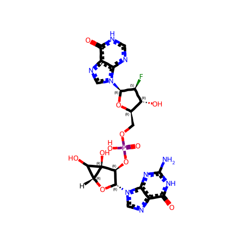 Nc1nc2c(ncn2[C@@H]2O[C@@H]3C(O)[C@]3(O)[C@H]2OP(=O)(O)OC[C@H]2O[C@@H](n3cnc4c(=O)[nH]cnc43)[C@@H](F)[C@@H]2O)c(=O)[nH]1